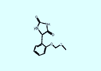 COCOc1ccccc1C1NC(=O)NC1=O